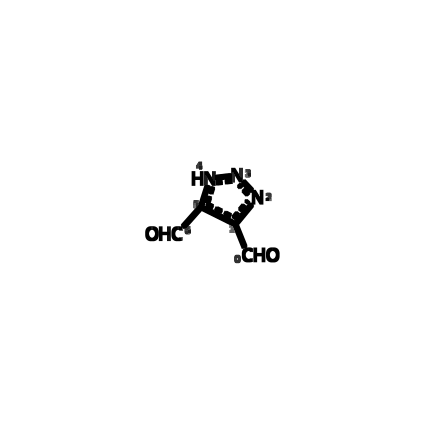 O=Cc1nn[nH]c1C=O